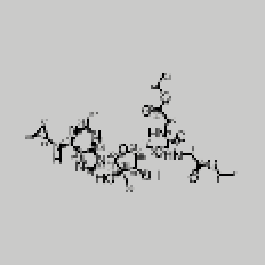 CCOC(=O)CNP(=O)(NCC(=O)OCC)OC[C@H]1O[C@@H](n2cnc3c(NC4CC4)nc(C)nc32)[C@@](C)(O)C1O